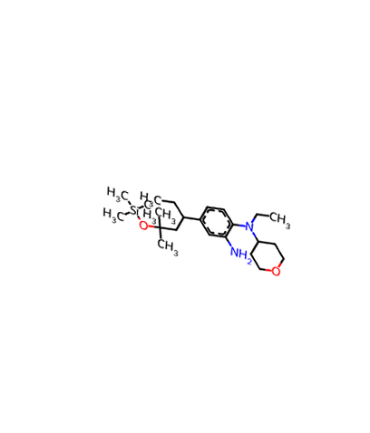 CCC(CC(C)(C)O[Si](C)(C)C)c1ccc(N(CC)C2CCOCC2)c(N)c1